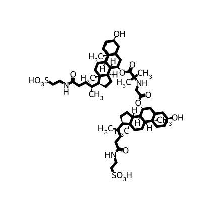 C[C@H](CCC(=O)NCCS(=O)(=O)O)[C@H]1CC[C@@H]2[C@@H]3[C@@H](CC[C@]21C)[C@]1(C)CC[C@H](O)CC1C[C@H]3OC(=O)CNC(C)(C)C(=O)O[C@@H]1CC2C[C@@H](O)CC[C@@]2(C)[C@@H]2CC[C@]3(C)[C@H](CC[C@H]3[C@H](C)CCC(=O)NCCS(=O)(=O)O)[C@H]21